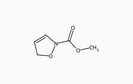 COC(=O)N1C=CCO1